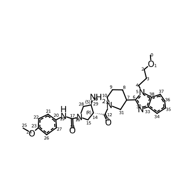 COCCCn1c(C2CCCN(C(=O)[C@@H]3CN(C(=O)Nc4ccc(OC)cc4)C[C@H]3N)C2)nc2ccccc21